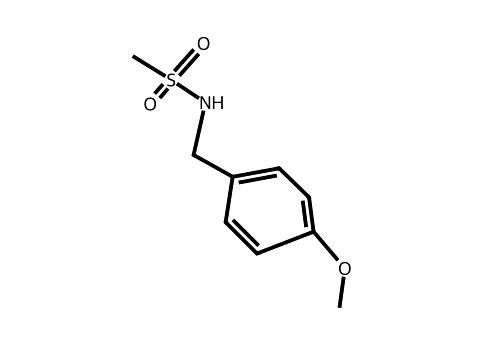 COc1ccc(CNS(C)(=O)=O)cc1